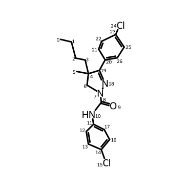 CCCCC1(C)CN(C(=O)Nc2ccc(Cl)cc2)N=C1c1ccc(Cl)cc1